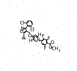 COC(=O)c1c(F)cc(N2C[C@@H]3C[C@H]2C[C@H]3OCc2c(-c3c(Cl)cccc3Cl)noc2C2CC2)c(F)c1F